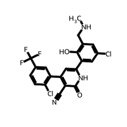 CNCc1cc(Cl)cc(-c2cc(-c3cc(C(F)(F)F)ccc3Cl)c(C#N)c(=O)[nH]2)c1O